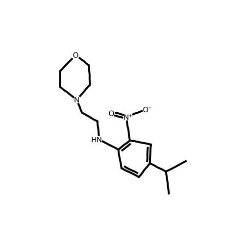 CC(C)c1ccc(NCCN2CCOCC2)c([N+](=O)[O-])c1